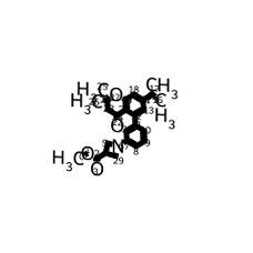 COC(=O)C1CN(c2cccc(-c3cc(C(C)C)cc4c3C(=O)CC(C)(C)O4)c2)C1